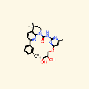 Cc1cc(OCC(O)CO)nc(NC(=O)N2CCC(C)(C)c3ccc(-c4cccc(C(F)(F)F)c4)nc32)n1